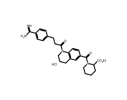 CCOC(=O)C1CCCCN1C(=O)c1ccc2c(c1)CCCN2C(=O)CCc1ccc(C(=N)N)cc1.Cl